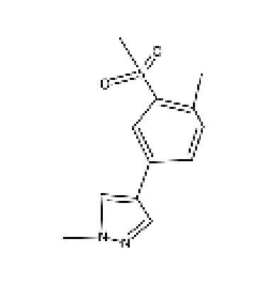 Cc1ccc(-c2cnn(C)c2)cc1S(C)(=O)=O